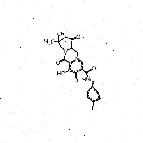 CC1(C)CC(=O)C2Cn3cc(C(=O)NCc4ccc(F)cc4)c(=O)c(O)c3C(=O)N2C1